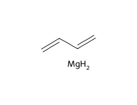 C=CC=C.[MgH2]